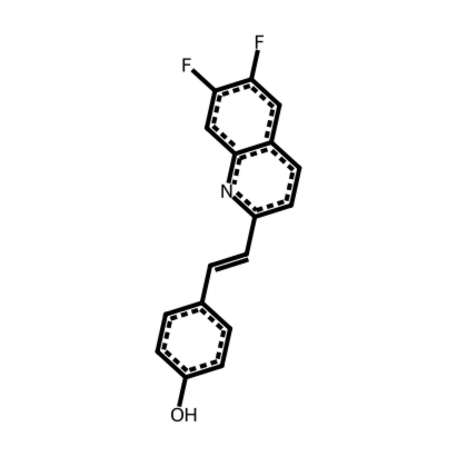 Oc1ccc(C=Cc2ccc3cc(F)c(F)cc3n2)cc1